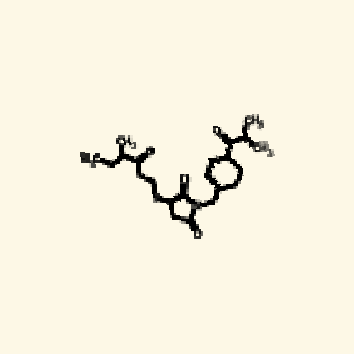 CCC(C)C(=O)CCSC1CC(=O)N(CC2CCC(C(=O)C(C)C)CC2)C1=O